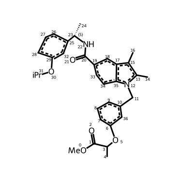 COC(=O)C(C)Oc1cccc(Cn2c(C)c(C)c3cc(C(=O)N[C@@H](C)c4cccc(OC(C)C)c4)ccc32)c1